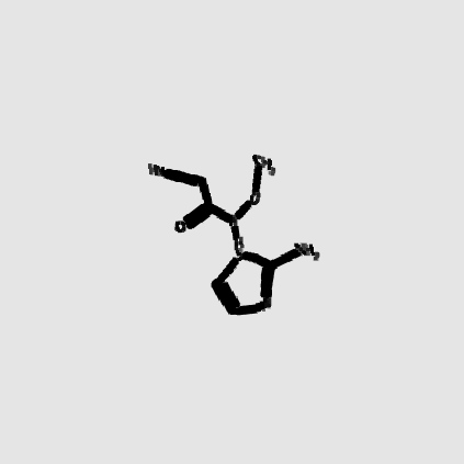 CON(C(=O)C=N)[SH]1C=CN=C1N